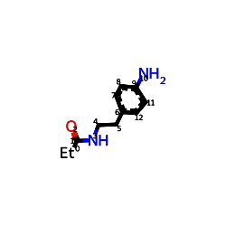 CCC(=O)NCCc1ccc(N)cc1